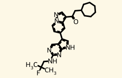 CC(C)(F)CNc1ncc2c(-c3ccn4ncc(C(=O)CC5CCCCCC5)c4c3)c[nH]c2n1